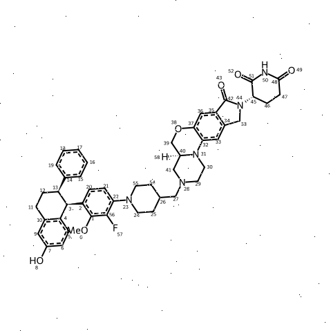 COc1c([C@H]2c3ccc(O)cc3CC[C@H]2c2ccccc2)ccc(N2CCC(CN3CCN4c5cc6c(cc5OC[C@@H]4C3)C(=O)N([C@H]3CCC(=O)NC3=O)C6)CC2)c1F